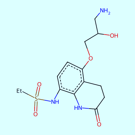 CCS(=O)(=O)Nc1ccc(OCC(O)CN)c2c1NC(=O)CC2